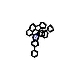 c1ccc(-c2ccc(N(c3ccc(-c4ccccc4)cc3)c3cccc4ccc5c(c34)C(c3ccccc3)(c3ccccc3)c3ccccc3-5)cc2)cc1